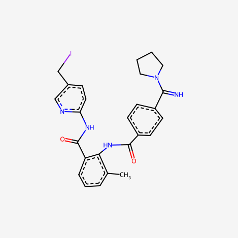 Cc1cccc(C(=O)Nc2ccc(CI)cn2)c1NC(=O)c1ccc(C(=N)N2CCCC2)cc1